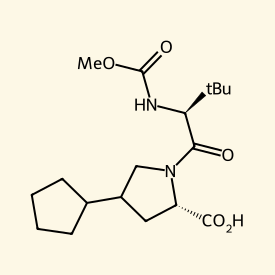 COC(=O)N[C@H](C(=O)N1CC(C2CCCC2)C[C@H]1C(=O)O)C(C)(C)C